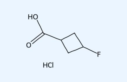 Cl.O=C(O)C1CC(F)C1